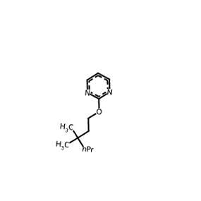 CCCC(C)(C)CCOc1ncccn1